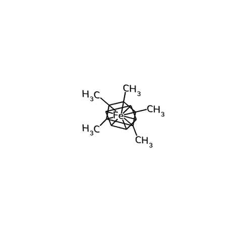 C[C]12[C]3(C)[C]4(C)[C]5(C)[C]1(C)[Fe]23451678[CH]2[CH]1[CH]6[CH]7[CH]28